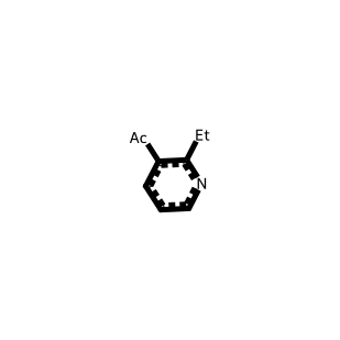 CCc1ncccc1C(C)=O